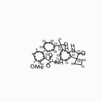 COc1ccccc1S(=O)(=O)Nc1cc2c(c(C(C)(O)c3ccccc3)c1)NC(=O)C21CCC1